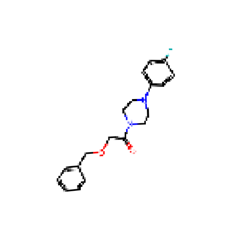 O=C(COCc1ccccc1)N1CCN(c2ccc(F)cc2)CC1